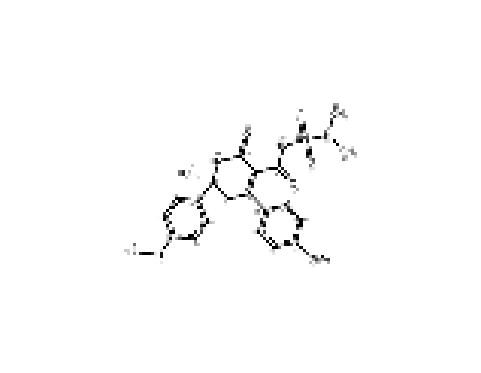 CCCCOc1ccc([C@]2(C)CC(c3ccc(OC)cc3)=C(C(=O)NS(=O)(=O)N(C)C)C(=O)N2)cc1